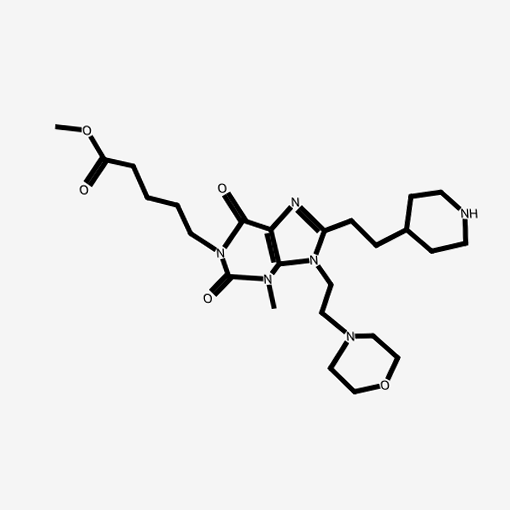 COC(=O)CCCCn1c(=O)c2nc(CCC3CCNCC3)n(CCN3CCOCC3)c2n(C)c1=O